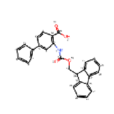 O=C(Nc1cc(-c2ccccc2)ccc1C(=O)O)OCC1c2ccccc2-c2ccccc21